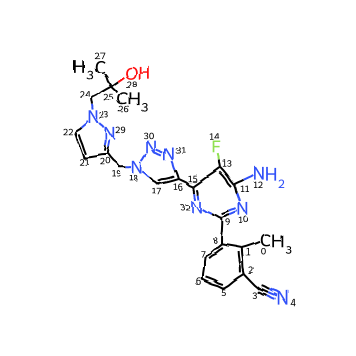 Cc1c(C#N)cccc1-c1nc(N)c(F)c(-c2cn(Cc3ccn(CC(C)(C)O)n3)nn2)n1